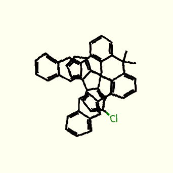 CC1(C)c2cccc(-c3ccc4ccccc4c3)c2C2(c3ccccc3-c3ccc(Cl)cc32)c2c(-c3ccc4ccccc4c3)cccc21